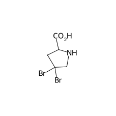 O=C(O)C1CC(Br)(Br)CN1